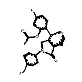 O=C1c2ccnc(-c3ccc(F)cc3OC(F)F)c2CN1c1ccc(F)cn1